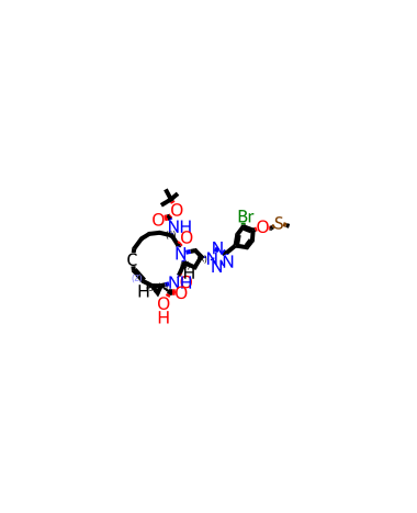 CSCOc1ccc(-c2nnn([C@@H]3C[C@H]4C(=O)N[C@]5(C(=O)O)C[C@H]5/C=C\CCCCC[C@H](NC(=O)OC(C)(C)C)C(=O)N4C3)n2)cc1Br